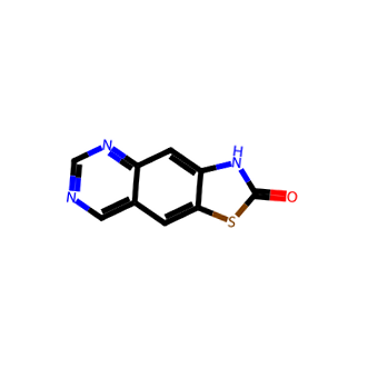 O=c1[nH]c2cc3ncncc3cc2s1